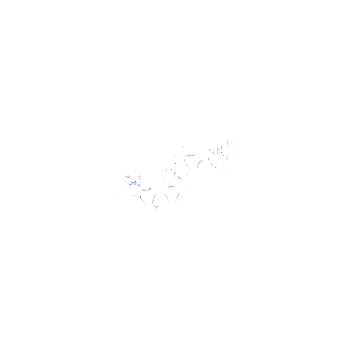 CN(N)/N=C(\N)c1cc(Cl)c(C(=O)N2COc3c(cccc3-c3cc(N4CC5CCCC4CO5)c(C(=O)O)cc3F)C2)c(Cl)c1